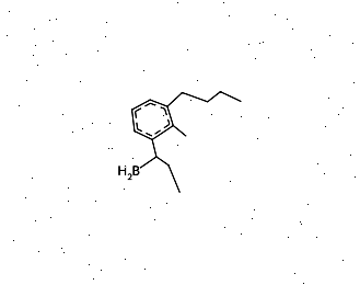 BC(CC)c1cccc(CCCC)c1C